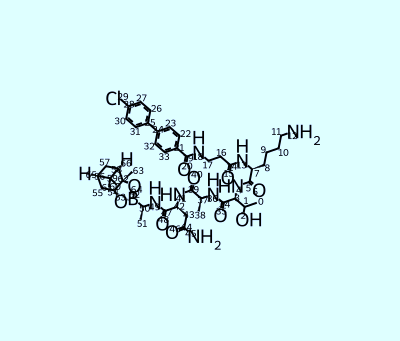 CC(O)[C@H](NC(=O)[C@H](CCCCN)NC(=O)CCNC(=O)c1ccc(-c2ccc(Cl)cc2)cc1)C(=O)N[C@@H](C)C(=O)N[C@@H](CC(N)=O)C(=O)N[C@@H](C)B1OC2C[C@@H]3C[C@@H](C3(C)C)[C@]2(C)O1